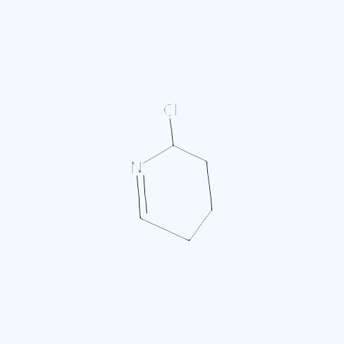 ClC1CCCC=N1